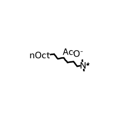 CC(=O)[O-].CCCCCCCCCCCCCC[N+](C)(C)C